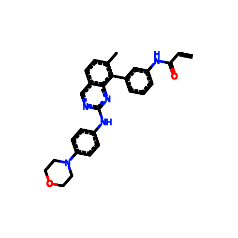 C=CC(=O)Nc1cccc(-c2c(C)ccc3cnc(Nc4ccc(N5CCOCC5)cc4)nc23)c1